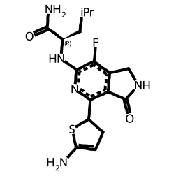 CC(C)C[C@@H](Nc1nc(C2CC=C(N)S2)c2c(c1F)CNC2=O)C(N)=O